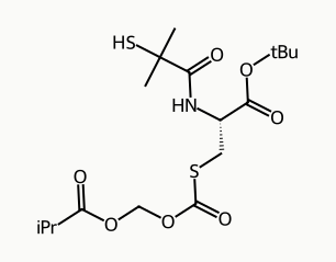 CC(C)C(=O)OCOC(=O)SC[C@H](NC(=O)C(C)(C)S)C(=O)OC(C)(C)C